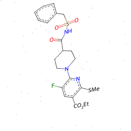 CCOC(=O)c1cc(F)c(N2CCC(C(=O)NS(=O)(=O)Cc3ccccc3)CC2)nc1SC